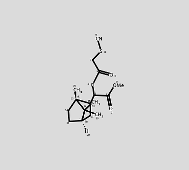 COC(=O)C(OC(=O)CSC#N)C1C[C@H]2CC[C@@]1(C)C2(C)C